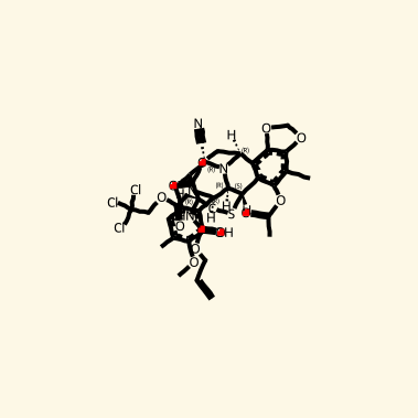 C=CCOC(=O)N[C@H]1CS[C@H]2c3c(OC(C)=O)c(C)c4c(c3[C@H](COC1=O)N1[C@@H]2[C@H]2c3c(cc(C)c(OC)c3O)CC([C@@H]1C#N)N2C(=O)OCC(Cl)(Cl)Cl)OCO4